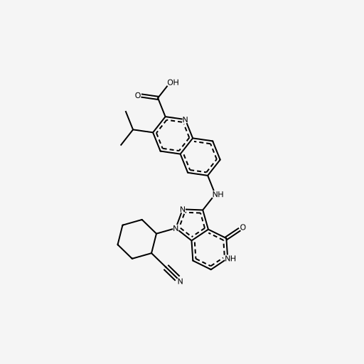 CC(C)c1cc2cc(Nc3nn(C4CCCCC4C#N)c4cc[nH]c(=O)c34)ccc2nc1C(=O)O